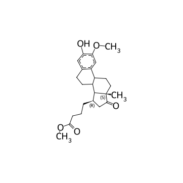 COC(=O)CCC[C@@H]1CC(=O)[C@@]2(C)CCC3c4cc(OC)c(O)cc4CCC3C12